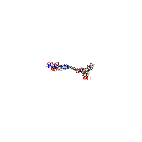 O=C1CCC(N2C(=O)c3ccc(N4CCN(CCCCCCCOc5ccc(Oc6c(-c7ccc(Br)cc7)sc7cc(O)ccc67)cc5)CC4)cc3C2=O)C(=O)N1